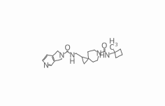 CC1(NC(=O)N2CCC3(CC2)CC3CNC(=O)N2Cc3ccncc3C2)CCC1